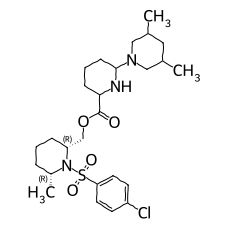 CC1CC(C)CN(C2CCCC(C(=O)OC[C@H]3CCC[C@@H](C)N3S(=O)(=O)c3ccc(Cl)cc3)N2)C1